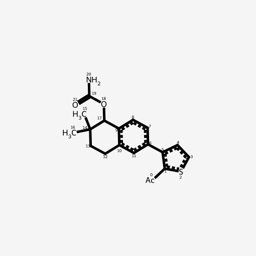 CC(=O)c1sccc1-c1ccc2c(c1)CCC(C)(C)C2OC(N)=O